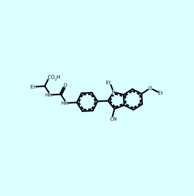 CCOc1ccc2c(C#N)c(-c3ccc(NC(=O)NC(CC)C(=O)O)cc3)n(CC)c2c1